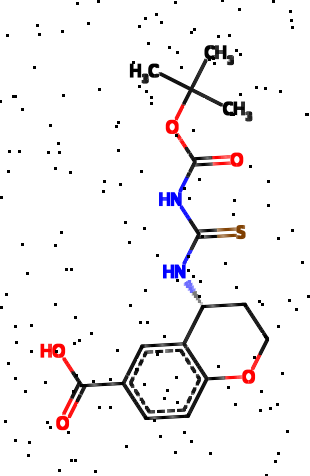 CC(C)(C)OC(=O)NC(=S)N[C@@H]1CCOc2ccc(C(=O)O)cc21